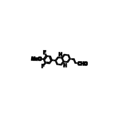 COc1c(F)cc(C2CC[C@@H]3C[C@H](CCC=O)CC[C@@H]3C2)cc1F